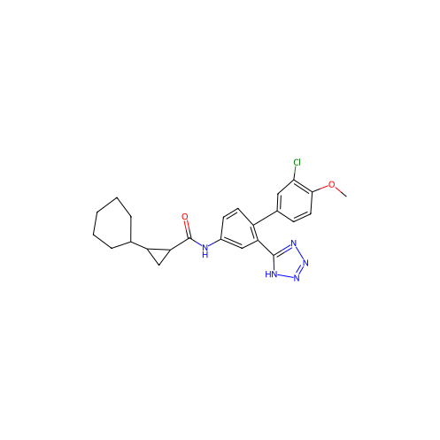 COc1ccc(-c2ccc(NC(=O)C3CC3C3CCCCC3)cc2-c2nnn[nH]2)cc1Cl